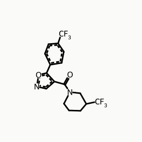 O=C(c1cnoc1-c1ccc(C(F)(F)F)cc1)N1CCCC(C(F)(F)F)C1